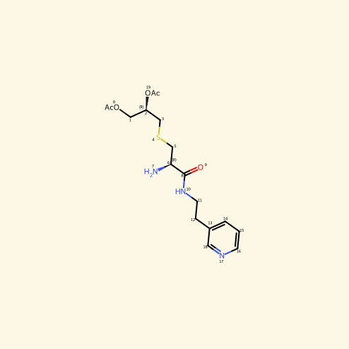 CC(=O)OC[C@H](CSC[C@H](N)C(=O)NCCc1cccnc1)OC(C)=O